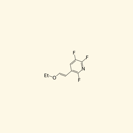 CCO/C=C/c1cc(F)c(F)nc1F